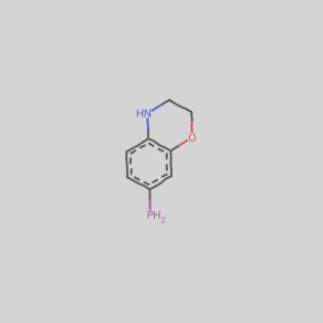 Pc1ccc2c(c1)OCCN2